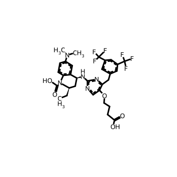 CC[C@@H]1C[C@H](Nc2ncc(OCCCC(=O)O)c(Cc3cc(C(F)(F)F)cc(C(F)(F)F)c3)n2)c2cc(N(C)C)ccc2N1C(=O)O